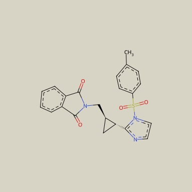 Cc1ccc(S(=O)(=O)n2ccnc2[C@@H]2C[C@H]2CN2C(=O)c3ccccc3C2=O)cc1